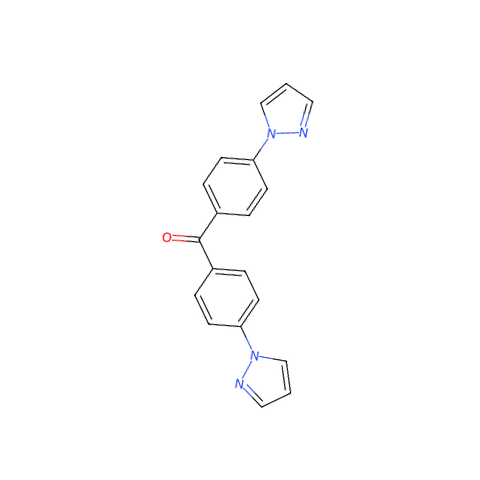 O=C(c1ccc(-n2cccn2)cc1)c1ccc(-n2cccn2)cc1